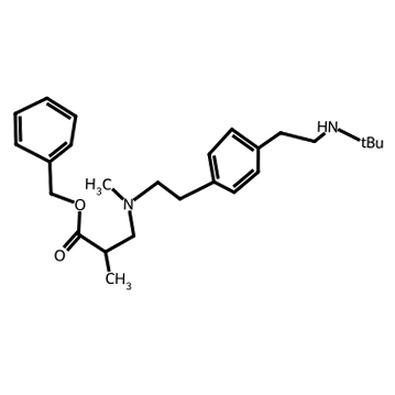 CC(CN(C)CCc1ccc(CCNC(C)(C)C)cc1)C(=O)OCc1ccccc1